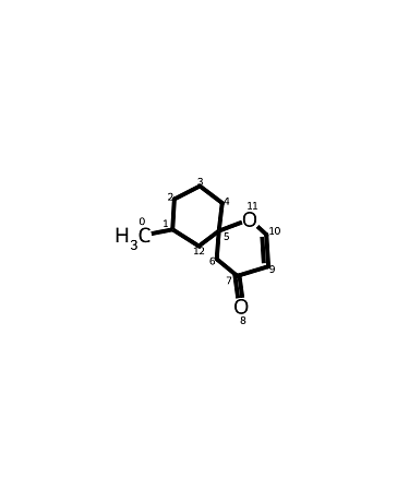 CC1CCCC2(CC(=O)C=CO2)C1